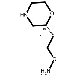 NOCC[C@@H]1CNCCO1